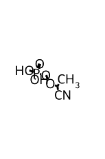 CC(C#N)OOP(=O)(O)O